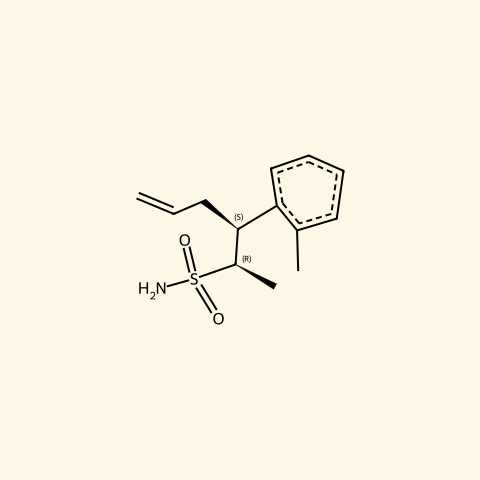 C=CC[C@@H](c1ccccc1C)[C@@H](C)S(N)(=O)=O